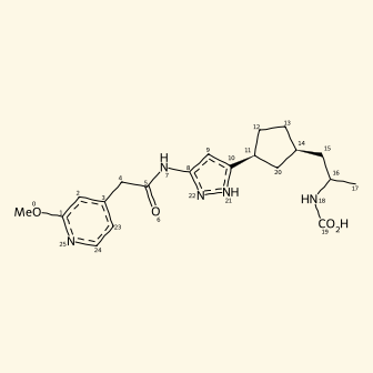 COc1cc(CC(=O)Nc2cc([C@H]3CC[C@@H](CC(C)NC(=O)O)C3)[nH]n2)ccn1